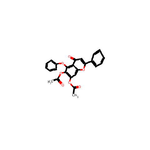 CC(=O)Oc1cc2oc(-c3ccccc3)cc(=O)c2c(Oc2ccccc2)c1OC(C)=O